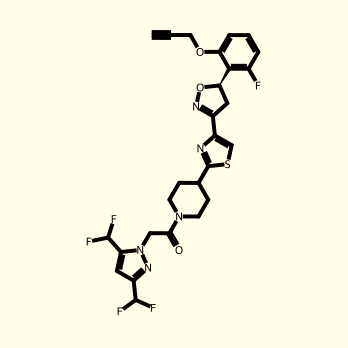 C#CCOc1cccc(F)c1[C@H]1CC(c2csc(C3CCN(C(=O)Cn4nc(C(F)F)cc4C(F)F)CC3)n2)=NO1